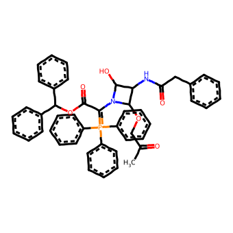 CC(=O)COC1C(NC(=O)Cc2ccccc2)C(O)N1C(C(=O)OC(c1ccccc1)c1ccccc1)=P(c1ccccc1)(c1ccccc1)c1ccccc1